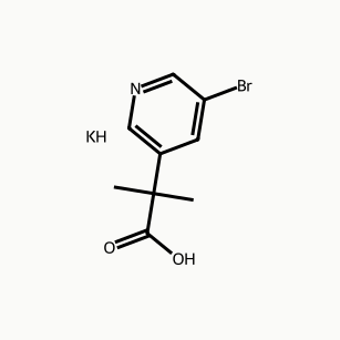 CC(C)(C(=O)O)c1cncc(Br)c1.[KH]